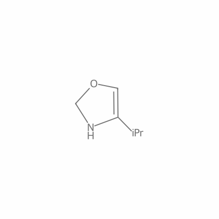 CC(C)C1=COCN1